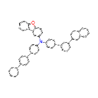 c1ccc(-c2ccc(-c3ccc(N(c4ccc(-c5cccc(-c6ccc7ccccc7c6)c5)cc4)c4ccc5oc6ccccc6c5c4)cc3)cc2)cc1